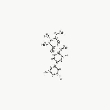 Cc1cc(-c2cc(F)cc(F)c2)ccc1C(O)[C@H]1O[C@H](CO)[C@@H](O)[C@H](O)[C@@H]1O